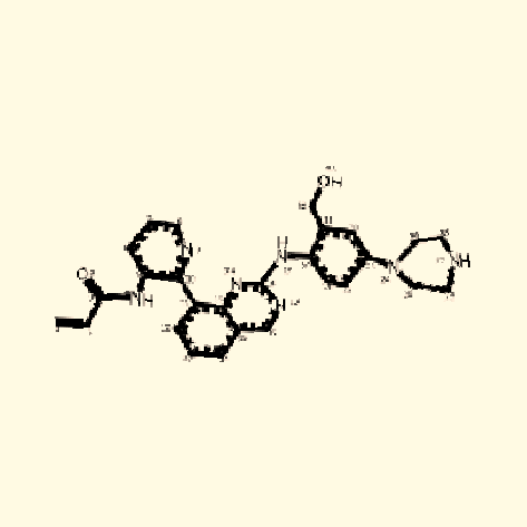 C=CC(=O)Nc1cccnc1-c1cccc2cnc(Nc3ccc(N4CCNCC4)cc3CO)nc12